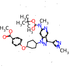 COC(=O)c1ccc(OC2CCC(n3nc(-c4cnn(C)c4)c4cnc(N(C)C(=O)OC(C)(C)C)cc43)CC2)cc1